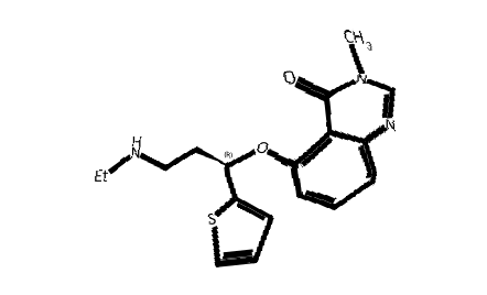 CCNCC[C@@H](Oc1cccc2ncn(C)c(=O)c12)c1cccs1